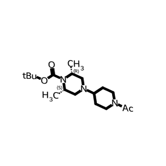 CC(=O)N1CCC(N2C[C@@H](C)N(C(=O)OC(C)(C)C)[C@@H](C)C2)CC1